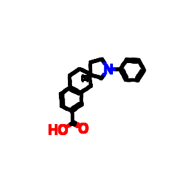 O=C(O)c1ccc2c(c1)C[C@@]1(CC2)CCN(c2ccccc2)C1